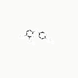 CC(=O)c1ccc(Oc2ccc(C(F)(F)F)nc2)nc1C(F)(F)F